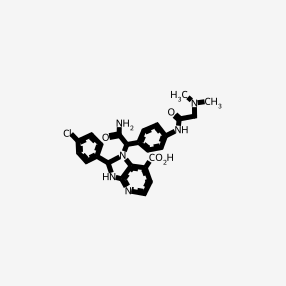 CN(C)CC(=O)Nc1ccc(C(C(N)=O)N2c3c(C(=O)O)ccnc3NC2c2ccc(Cl)cc2)cc1